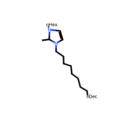 CCCCCCCCCCCCCCCCCCN1C=CN(CCCCCC)C1C